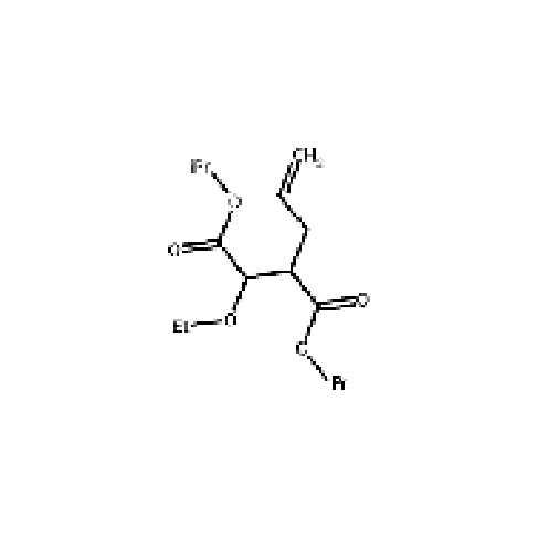 C=CCC(C(=O)OC(C)C)C(OCC)C(=O)OC(C)C